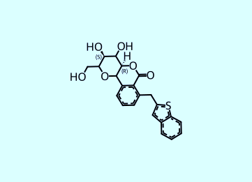 O=C1O[C@H]2C(OC(CO)[C@@H](O)C2O)c2cccc(Cc3cc4ccccc4s3)c21